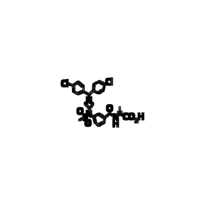 C[C@H](NC(=O)c1cccc(N(C2CN(C(c3ccc(Cl)cc3)c3ccc(Cl)cc3)C2)S(C)(=O)=O)c1)C(=O)O